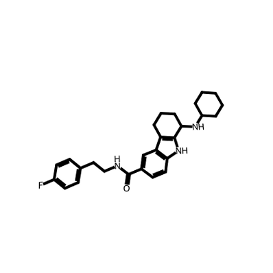 O=C(NCCc1ccc(F)cc1)c1ccc2[nH]c3c(c2c1)CCCC3NC1CCCCC1